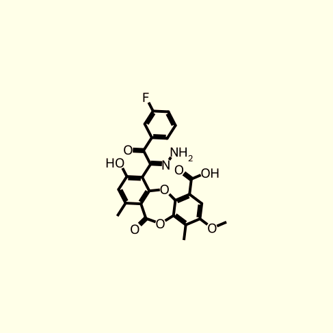 COc1cc(C(=O)O)c2c(c1C)OC(=O)c1c(C)cc(O)c(C(=NN)C(=O)c3cccc(F)c3)c1O2